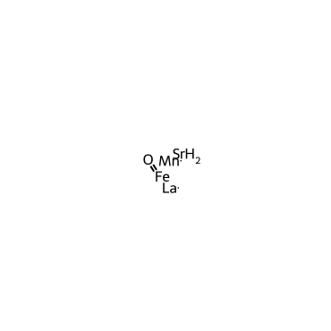 [La].[Mn].[O]=[Fe].[SrH2]